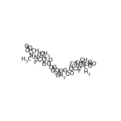 C[CH]C(OC(=O)OCOC(=O)c1cn(C2CC2)c2c(OC)c(N3CCN(Cc4oc(=O)oc4C)C(C)C3)c(F)cc2c1=O)OC(=O)OCOC(=O)c1cn(C2CC2)c2c(OC)c(N3CCN(Cc4oc(=O)oc4C)C(C)C3)c(F)cc2c1=O